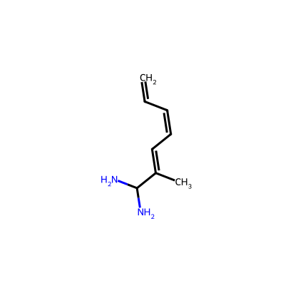 C=C/C=C\C=C(/C)C(N)N